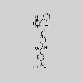 CC(=O)c1ccc(C(=O)NC2CCN(CCCOc3ccccc3-c3nnn[nH]3)CC2)cc1